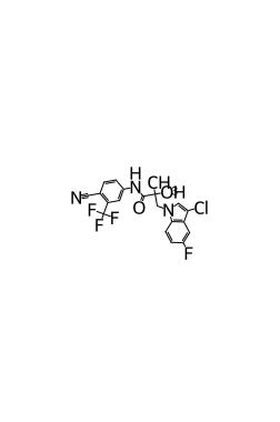 CC(O)(Cn1cc(Cl)c2cc(F)ccc21)C(=O)Nc1ccc(C#N)c(C(F)(F)F)c1